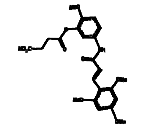 COc1cc(OC)c(C=CC(=O)Nc2ccc(OC)c(OC(=O)CCC(=O)O)c2)c(OC)c1